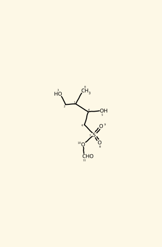 CC(CO)C(O)CS(=O)(=O)OC=O